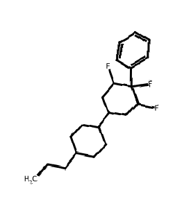 CCCC1CCC(C2CC(F)C(F)(c3ccccc3)C(F)C2)CC1